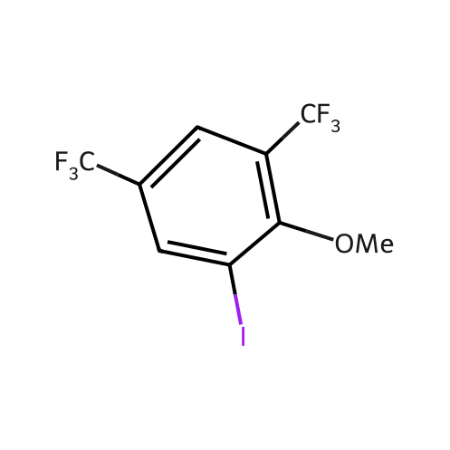 COc1c(I)cc(C(F)(F)F)cc1C(F)(F)F